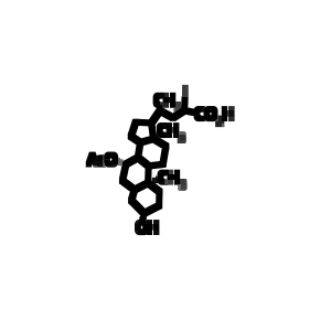 CC(=O)O[C@H]1CC2C[C@H](O)CC[C@]2(C)C2CC[C@]3(C)C(C(C)CC(I)C(=O)O)CCC3C21